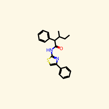 CCC(C)C(C(=O)Nc1nc(-c2ccccc2)cs1)c1ccccc1